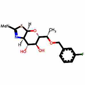 CNC1=N[C@@H]2[C@@H](O)[C@H](O)[C@@H]([C@H](C)OCc3cccc(F)c3)O[C@@H]2S1